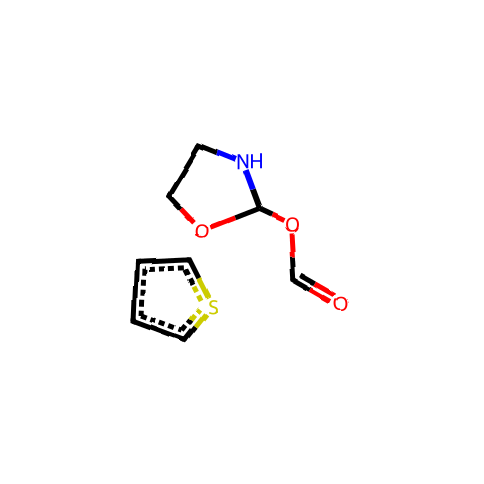 O=COC1NCCO1.c1ccsc1